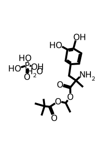 CC(OC(=O)C(C)(C)C)OC(=O)C(C)(N)Cc1ccc(O)c(O)c1.O.O=P(O)(O)O